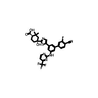 CC1(C)C[C@@](O)(c2ncc(-c3cc(Nc4nccc(C(F)(F)F)n4)cc(-c4ccc(C#N)c(F)c4)c3)s2)CC[C@H]1C(=O)O